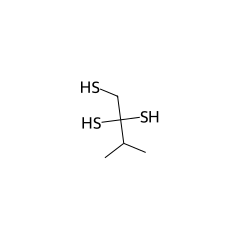 CC(C)C(S)(S)CS